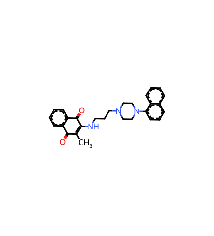 CC1=C(NCCCN2CCN(c3cccc4ccccc34)CC2)C(=O)c2ccccc2C1=O